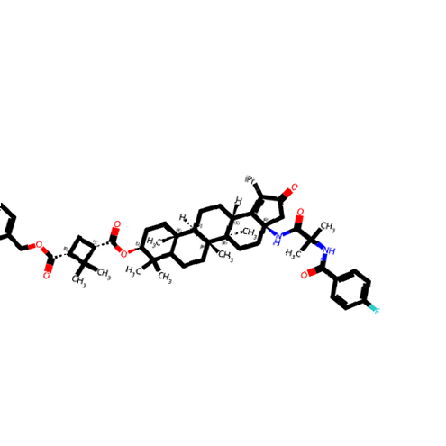 CC(C)C1=C2[C@H]3CC[C@@H]4[C@@]5(C)CC[C@H](OC(=O)[C@H]6C[C@@H](C(=O)OCc7ccccc7)C6(C)C)C(C)(C)C5CC[C@@]4(C)[C@]3(C)CC[C@@]2(NC(=O)C(C)(C)NC(=O)c2ccc(F)cc2)CC1=O